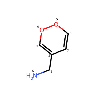 NCC1=COOC=C1